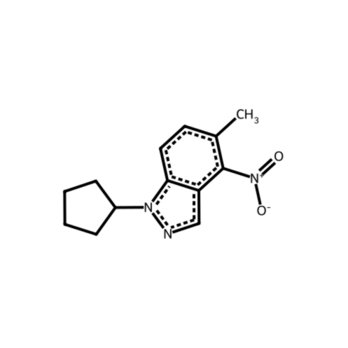 Cc1ccc2c(cnn2C2CCCC2)c1[N+](=O)[O-]